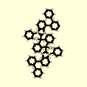 OC1(c2nc3c(-c4ccccc4-c4ccccc4)cccc3n2-c2ccccc2)c2ccccc2C(O)(c2nc3c(-c4ccccc4-c4ccccc4)cccc3n2-c2ccccc2)c2ccccc21